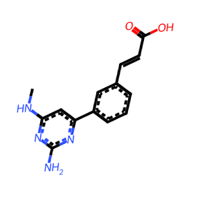 CNc1cc(-c2cccc(C=CC(=O)O)c2)nc(N)n1